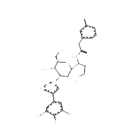 O=C(Cc1cccc(Br)c1)NC1CCO[C@]12O[C@H](CO)[C@H](O)[C@H](n1cc(-c3cc(F)c(F)c(F)c3)nn1)[C@H]2O